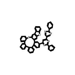 c1ccc(-c2ncc(-c3cc(-c4ccc5c(c4)-c4cc6oc7ccccc7c6cc4Sc4ccccc4-c4ccccc4-c4ccccc4-5)nc(-c4ccccc4)n3)cn2)cc1